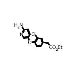 CCOC(=O)Cc1ccc(Oc2ccc(N)nc2)c(Cl)c1